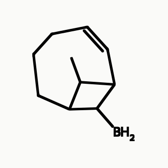 BC1C2/C=C\CCCC1C2C